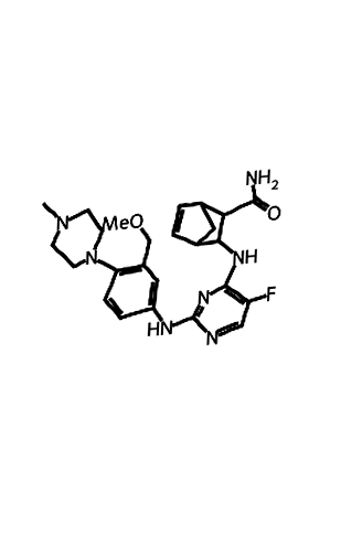 COCc1cc(Nc2ncc(F)c(NC3C4C=CC(C4)C3C(N)=O)n2)ccc1N1CCN(C)CC1